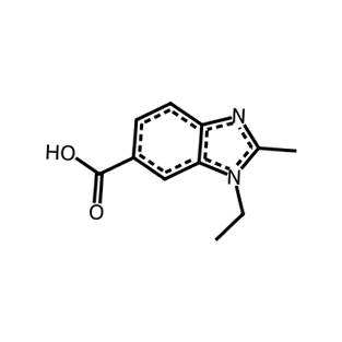 CCn1c(C)nc2ccc(C(=O)O)cc21